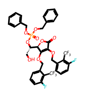 O=C1O[C@H]([C@H](CO)OP(=O)(OCc2ccccc2)OCc2ccccc2)C(OCc2cccc(F)c2C(F)(F)F)=C1OCc1cccc(F)c1C(F)(F)F